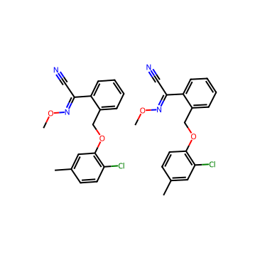 CON=C(C#N)c1ccccc1COc1cc(C)ccc1Cl.CON=C(C#N)c1ccccc1COc1ccc(C)cc1Cl